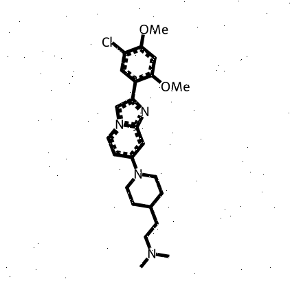 COc1cc(OC)c(-c2cn3ccc(N4CCC(CCN(C)C)CC4)cc3n2)cc1Cl